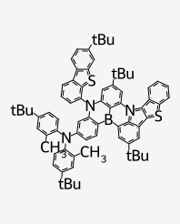 Cc1cc(C(C)(C)C)ccc1N(c1ccc2c(c1)N(c1cccc3c1sc1cc(C(C)(C)C)ccc13)c1cc(C(C)(C)C)cc3c1B2c1cc(C(C)(C)C)cc2c4sc5ccccc5c4n-3c12)c1ccc(C(C)(C)C)cc1C